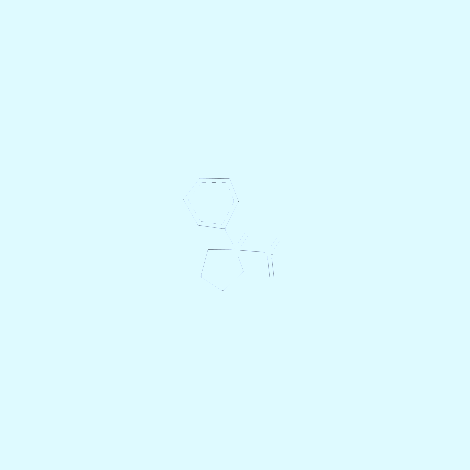 O=[SH](=O)S1(=O)(c2ccccc2)CCCC1